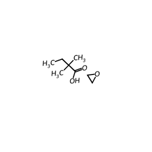 C1CO1.CCC(C)(C)C(=O)O